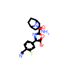 N#Cc1ccc(-c2nc(C(=O)N3C4CCC3CC(N)C4)oc2Br)cc1F